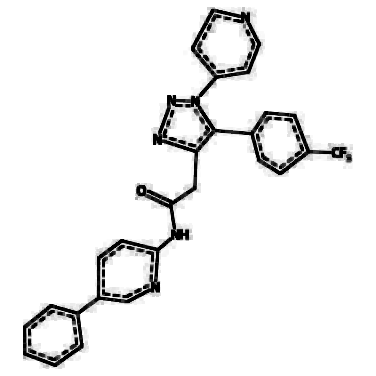 O=C(Cc1nnn(-c2ccncc2)c1-c1ccc(C(F)(F)F)cc1)Nc1ccc(-c2ccccc2)cn1